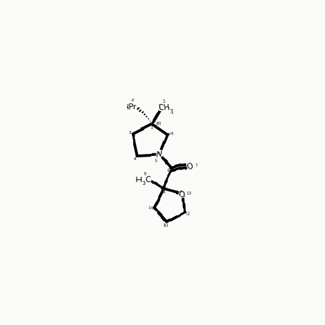 CC(C)[C@@]1(C)CCN(C(=O)C2(C)CCCO2)C1